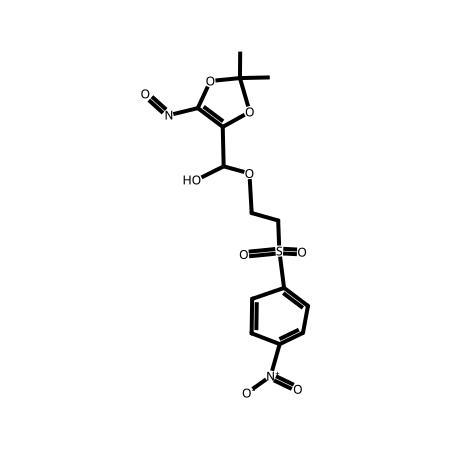 CC1(C)OC(N=O)=C(C(O)OCCS(=O)(=O)c2ccc([N+](=O)[O-])cc2)O1